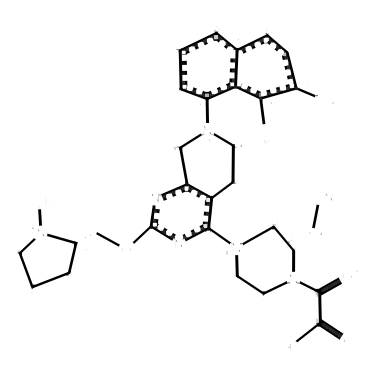 C=C(Br)C(=O)N1CCN(c2nc(OC[C@@H]3CCCN3C)nc3c2CCN(c2cccc4ccc(F)c(Cl)c24)C3)C[C@@H]1CC#N